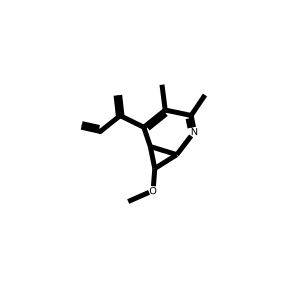 C=CC(=C)C1=C(C)C(C)=NC2C(OC)C12